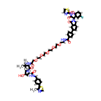 Cc1ncsc1-c1ccc(CNC(=O)[C@@H]2C[C@@H](O)CN2C(=O)C(NC(=O)COCCOCCOCCOCCOCCNC(=O)c2ccc(-c3ccc4c(c3)C(=O)N(C(C(=O)Nc3nccs3)c3cc(F)ccc3O)C4)cc2)C(C)(C)C)cc1